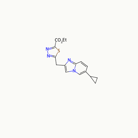 CCOC(=O)c1nnc(Cc2cn3cc(C4CC4)ccc3n2)s1